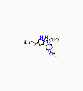 CC[C@H](C)COc1ccc([C@](N)(C=O)N2CCN(C)CC2)cc1